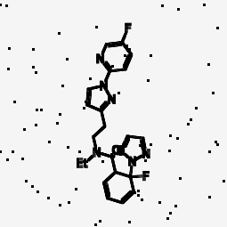 CCN(CCc1ccn(-c2ccc(F)cn2)n1)C(=O)C1C=CC=CC1(F)n1nccn1